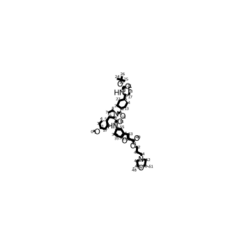 CO[C@H]1CC[C@H]([C@@H]2CCN(C(=O)[C@H]3CC[C@H]([C@@H](CF)NC(=O)OC(C)(C)C)CC3)[C@@H]2C(=O)Nc2ccc3oc(C(=O)OCCCN4C[C@@H](C)O[C@@H](C)C4)cc3c2)CC1